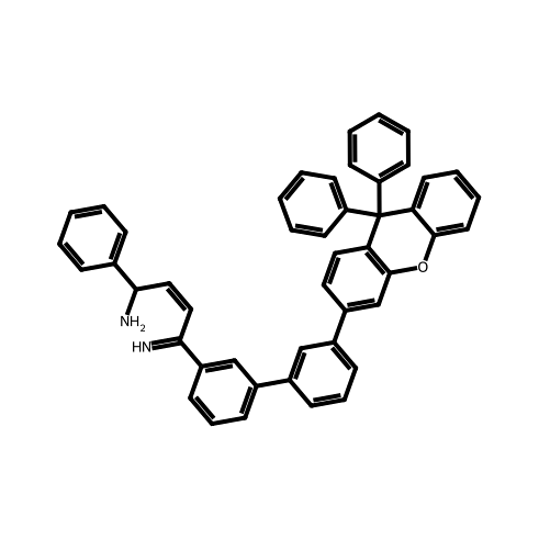 N=C(/C=C\C(N)c1ccccc1)c1cccc(-c2cccc(-c3ccc4c(c3)Oc3ccccc3C4(c3ccccc3)c3ccccc3)c2)c1